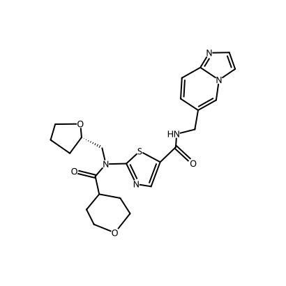 O=C(NCc1ccc2nccn2c1)c1cnc(N(C[C@@H]2CCCO2)C(=O)C2CCOCC2)s1